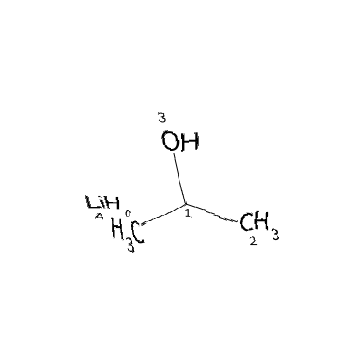 CC(C)O.[LiH]